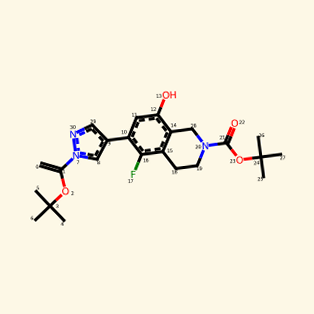 C=C(OC(C)(C)C)n1cc(-c2cc(O)c3c(c2F)CCN(C(=O)OC(C)(C)C)C3)cn1